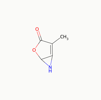 CC1=C2NC2OC1=O